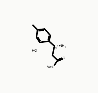 COC(=O)C[C@@H](N)c1ccc(C)cc1.Cl